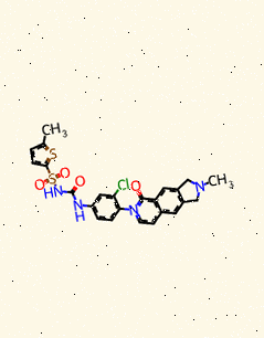 Cc1ccc(S(=O)(=O)NC(=O)Nc2ccc(-n3ccc4cc5c(cc4c3=O)CN(C)C5)c(Cl)c2)s1